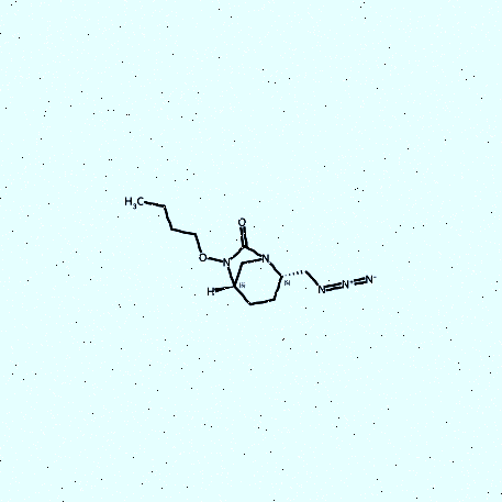 CCCCON1C(=O)N2C[C@@H]1CC[C@H]2CN=[N+]=[N-]